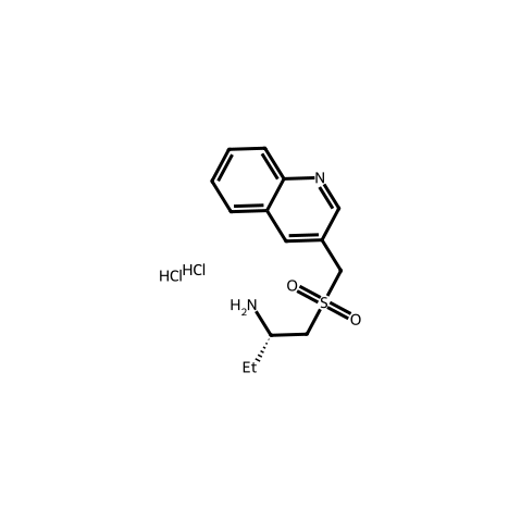 CC[C@H](N)CS(=O)(=O)Cc1cnc2ccccc2c1.Cl.Cl